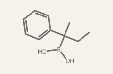 CCC(C)(B(O)O)c1ccccc1